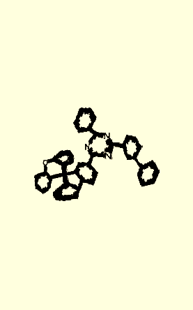 c1ccc(-c2cccc(-c3nc(-c4ccccc4)nc(-c4ccc5c(c4)C4(c6ccccc6Oc6ccccc64)c4ccccc4-5)n3)c2)cc1